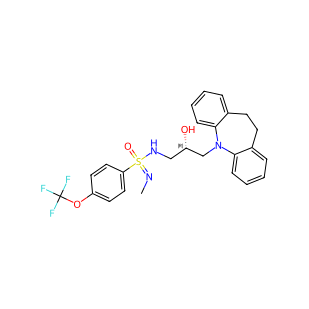 CN=S(=O)(NC[C@H](O)CN1c2ccccc2CCc2ccccc21)c1ccc(OC(F)(F)F)cc1